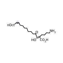 CCCCCCCC/C=C\CCCCCCCC(=O)N(O)[C@@H](CCCCN)C(=O)O